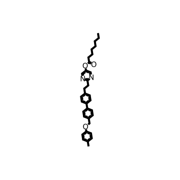 CCCCCCCC(=O)Oc1cnc(CCc2ccc(-c3ccc(COc4ccc(C)cc4)cc3)cc2)nc1